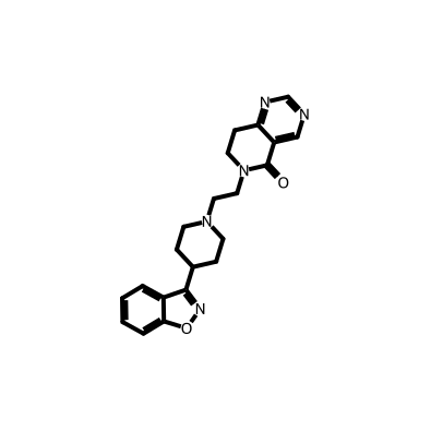 O=C1c2cncnc2CCN1CCN1CCC(c2noc3ccccc23)CC1